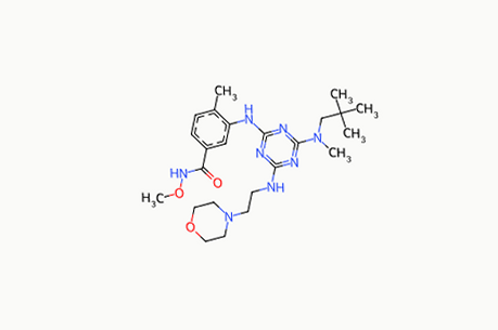 CONC(=O)c1ccc(C)c(Nc2nc(NCCN3CCOCC3)nc(N(C)CC(C)(C)C)n2)c1